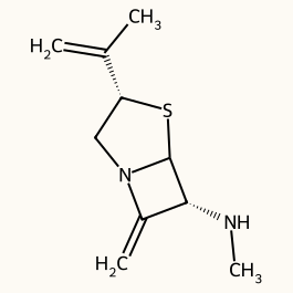 C=C(C)[C@H]1CN2C(=C)[C@@H](NC)C2S1